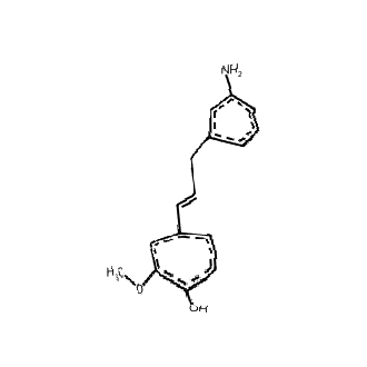 COc1cc(C=CCc2cccc(N)c2)ccc1O